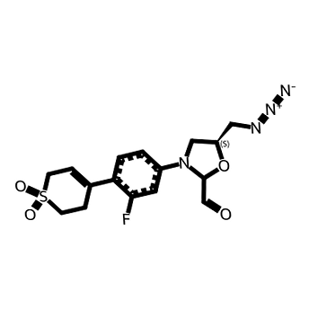 [N-]=[N+]=NC[C@@H]1CN(c2ccc(C3=CCS(=O)(=O)CC3)c(F)c2)C(C=O)O1